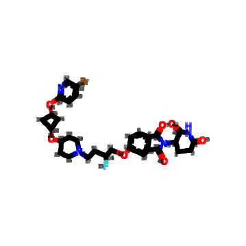 O=C1CCC(N2C(=O)c3ccc(OCC(F)CCN4CCC(O[C@H]5C[C@H](Oc6ccc(Br)cn6)C5)CC4)cc3C2=O)C(=O)N1